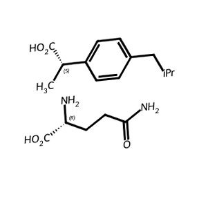 CC(C)Cc1ccc([C@H](C)C(=O)O)cc1.NC(=O)CC[C@@H](N)C(=O)O